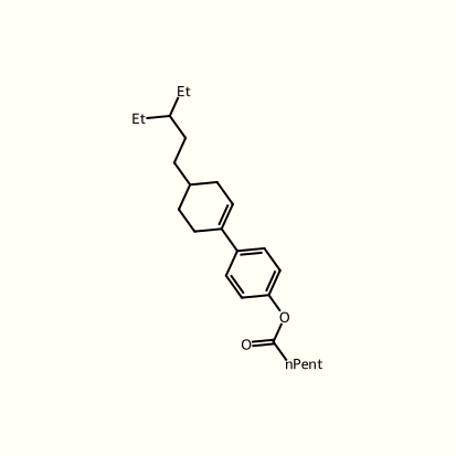 CCCCCC(=O)Oc1ccc(C2=CCC(CCC(CC)CC)CC2)cc1